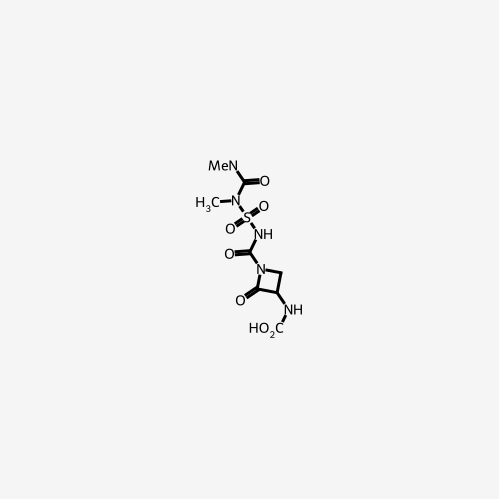 CNC(=O)N(C)S(=O)(=O)NC(=O)N1CC(NC(=O)O)C1=O